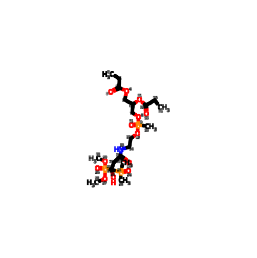 CCC(=O)OCC(COP(C)(=O)OCCNC(=O)CC(O)(P(C)(C)=O)P(=O)(OC)OC)OC(=O)CC